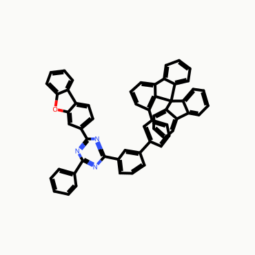 c1ccc(-c2nc(-c3cccc(-c4cccc(-c5cccc6c5C5(c7ccccc7-c7ccccc75)c5ccccc5-6)c4)c3)nc(-c3ccc4c(c3)oc3ccccc34)n2)cc1